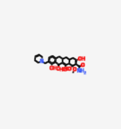 COC1(O)C(C(N)=O)=C(O)CC2CC3Cc4ccc(CN5CC=CCC5)c(O)c4C(=O)C3=C(O)C21